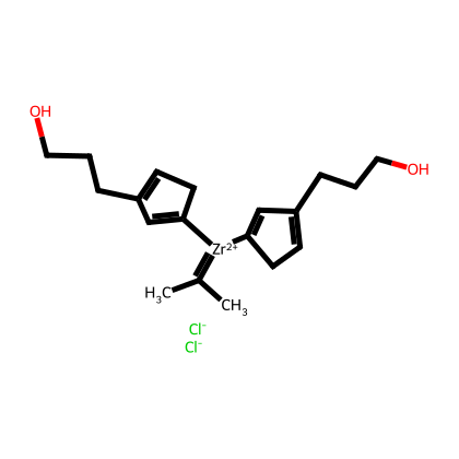 C[C](C)=[Zr+2]([C]1=CC(CCCO)=CC1)[C]1=CC(CCCO)=CC1.[Cl-].[Cl-]